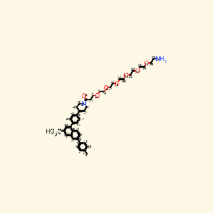 Cc1ccc(-c2ccc3c(-c4ccc(C5CCN(C(=O)CCOCCOCCOCCOCCOCCOCCN)CC5)cc4)cc(C(=O)O)cc3c2)cc1